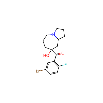 O=C(c1cc(Br)ccc1F)C1(O)CCCN2CCCC2C1